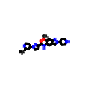 COc1cc2nn(C3CCNCC3)cc2cc1NC(=O)c1ccn(-c2ccnc(C)c2)n1